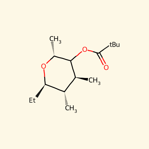 CC[C@H]1O[C@H](C)C(OC(=O)C(C)(C)C)[C@@H](C)[C@@H]1C